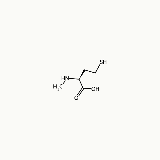 CN[C@@H](CCS)C(=O)O